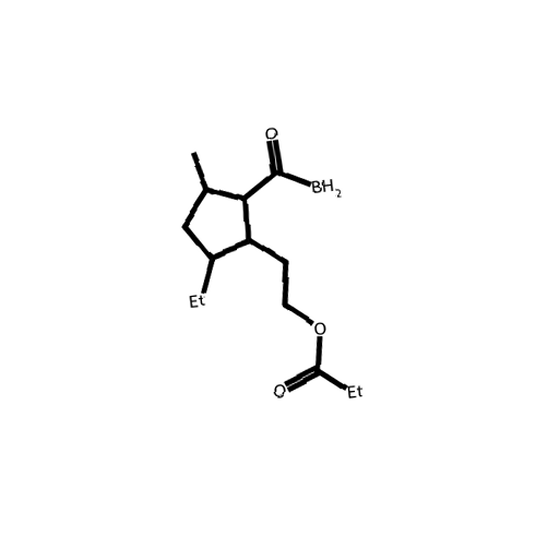 BC(=O)C1C(C)CC(CC)C1CCOC(=O)CC